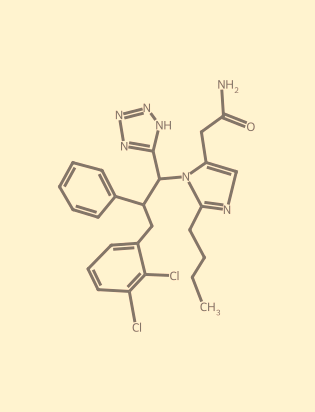 CCCCc1ncc(CC(N)=O)n1C(c1nnn[nH]1)C(Cc1cccc(Cl)c1Cl)c1ccccc1